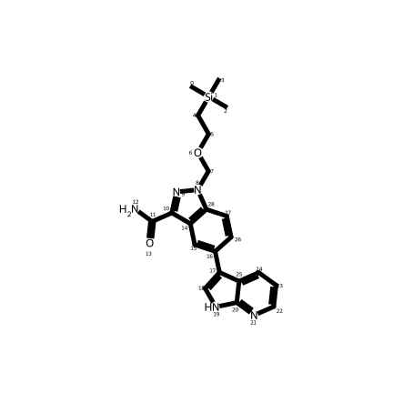 C[Si](C)(C)CCOCn1nc(C(N)=O)c2cc(-c3c[nH]c4ncccc34)ccc21